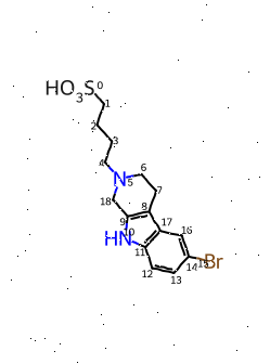 O=S(=O)(O)CCCCN1CCc2c([nH]c3ccc(Br)cc23)C1